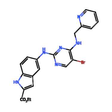 CCOC(=O)c1cc2cc(Nc3ncc(Br)c(NCc4ccccn4)n3)ccc2[nH]1